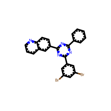 Brc1cc(Br)cc(-c2nc(-c3ccccc3)nc(-c3ccc4ncccc4c3)n2)c1